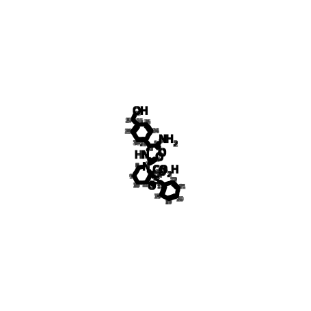 NC(=O)[C@@H](NC(=O)N1CCCC[C@@]1(C(=O)O)S(=O)(=O)c1ccccc1)c1ccc(CO)cc1